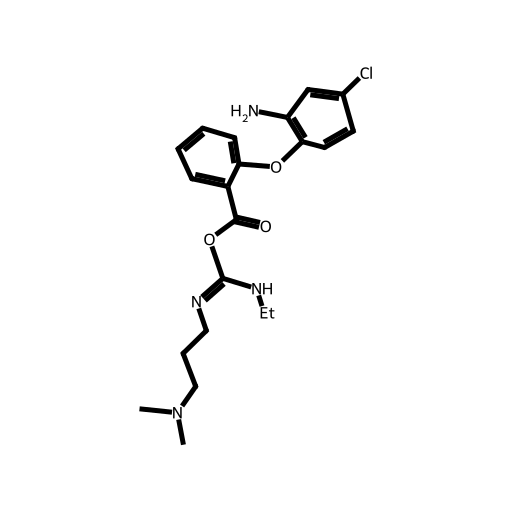 CCN/C(=N\CCCN(C)C)OC(=O)c1ccccc1Oc1ccc(Cl)cc1N